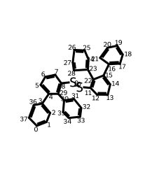 c1ccc(-c2cccc(SSc3cccc(-c4ccccc4)c3-c3ccccc3)c2-c2ccccc2)cc1